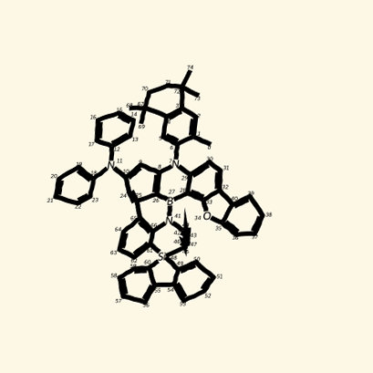 Cc1cc2c(cc1N1c3cc(N(c4ccccc4)c4ccccc4)cc4c3B(c3c1ccc1c3oc3ccccc31)N1c3ccccc3[Si]3(c5ccccc5-c5ccccc53)c3cccc-4c31)C(C)(C)CCC2(C)C